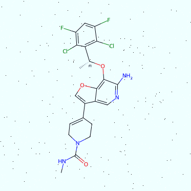 CNC(=O)N1CC=C(c2coc3c(O[C@H](C)c4c(Cl)c(F)cc(F)c4Cl)c(N)ncc23)CC1